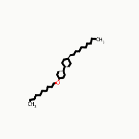 CCCCCCCCCCO[C@H]1CC[C@H]([C@H]2CC[C@H](CCCCCCCCCC)CC2)CC1